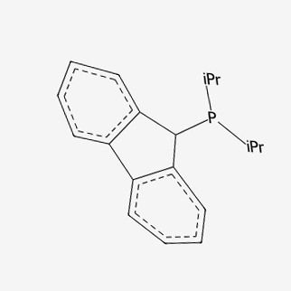 CC(C)P(C(C)C)C1c2ccccc2-c2ccccc21